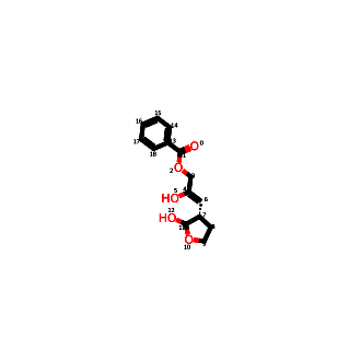 O=C(OCC(O)=C[C@@H]1CCOC1O)c1ccccc1